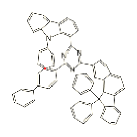 c1ccc(-c2ccc(-c3nc(-c4ccc5ccc6c(c5c4)C(c4ccccc4)(c4ccccc4)c4ccccc4-6)nc(-c4cccc5c6ccccc6n(-c6ccccc6)c45)n3)cc2)cc1